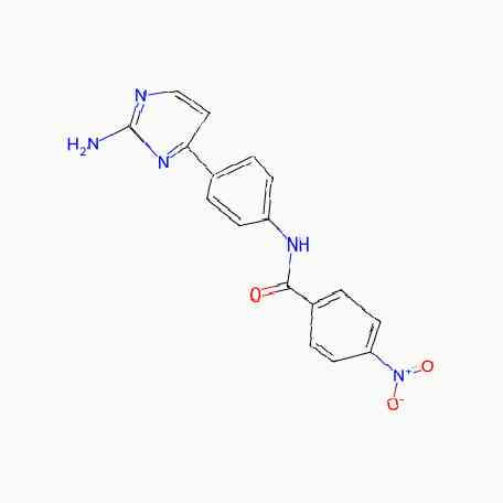 Nc1nccc(-c2ccc(NC(=O)c3ccc([N+](=O)[O-])cc3)cc2)n1